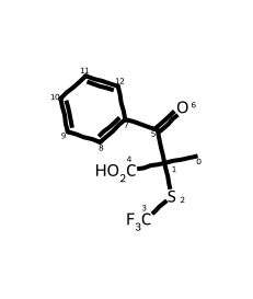 CC(SC(F)(F)F)(C(=O)O)C(=O)c1ccccc1